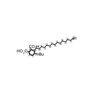 CCCCc1ccc(C(=O)O)c(C(=O)O)c1CCCCCCCCCCCCCCC(C)C